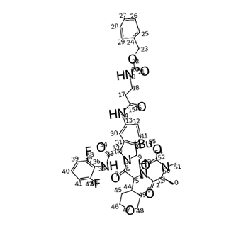 C[C@@H](C(=O)NC(C(=O)N1Cc2ccc(NC(=O)CCNC(=O)OCc3ccccc3)cc2[C@H]1C(=O)Nc1c(F)cccc1F)C1CCOCC1)N(C)C(=O)OC(C)(C)C